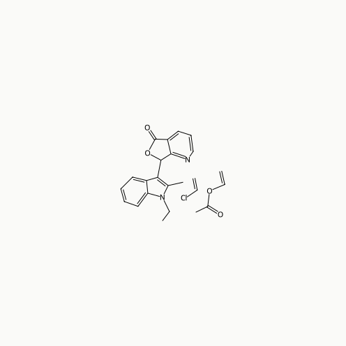 C=CCl.C=COC(C)=O.CCn1c(C)c(C2OC(=O)c3cccnc32)c2ccccc21